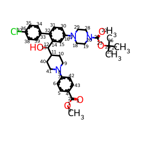 COC(=O)c1ccc(N2CCC([C@@H](O)c3cc(N4CCN(C(=O)OC(C)(C)C)CC4)ccc3-c3ccc(Cl)cc3)CC2)cc1